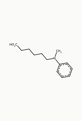 CN(CCCCCC(=O)O)c1ccccc1